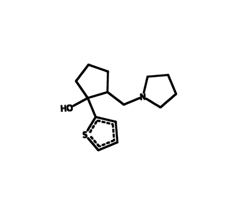 OC1(c2cccs2)CCCC1CN1CCCC1